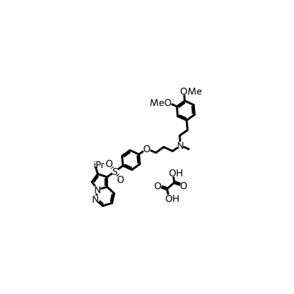 COc1ccc(CCN(C)CCCOc2ccc(S(=O)(=O)c3c(C(C)C)cn4ncccc34)cc2)cc1OC.O=C(O)C(=O)O